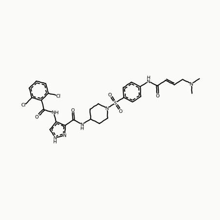 CN(C)CC=CC(=O)Nc1ccc(S(=O)(=O)N2CCC(NC(=O)c3n[nH]cc3NC(=O)c3c(Cl)cccc3Cl)CC2)cc1